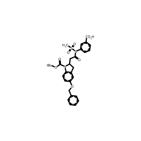 CC(C)(C)OC(=O)N1c2ccc(OCc3ccccc3)cc2CC1CC(=O)N(c1cccc(C(=O)O)c1)S(C)(=O)=O